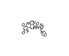 COc1cc(OC)c(F)c(-c2ccc(C(=O)Nc3nccn3CN3CCOCC3)c3nccnc23)c1F